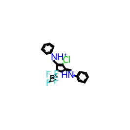 ClC1=C(C=[NH+]c2ccccc2)CCC1=CNc1ccccc1.F[B-](F)(F)F